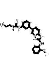 COc1ccccc1Nc1nc2ccc(-c3cccc(NC(=O)NCCN)c3)cn2n1